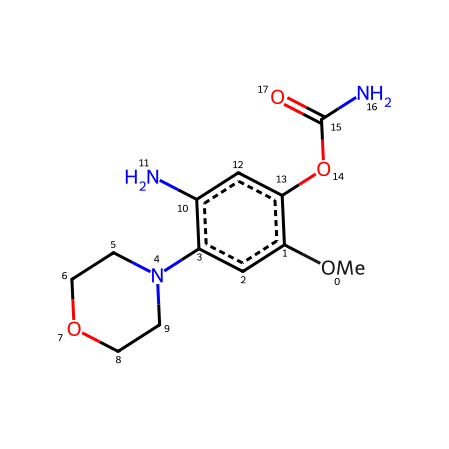 COc1cc(N2CCOCC2)c(N)cc1OC(N)=O